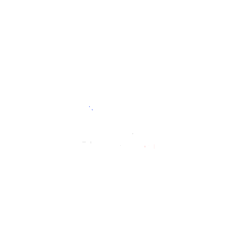 C#CC(C)(O)c1scnc1C